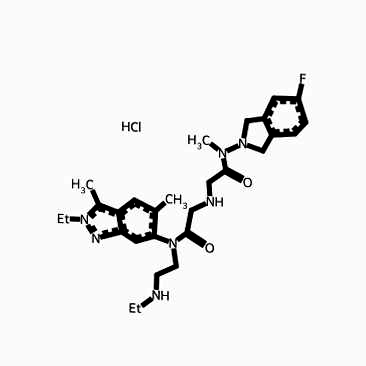 CCNCCN(C(=O)CNCC(=O)N(C)N1Cc2ccc(F)cc2C1)c1cc2nn(CC)c(C)c2cc1C.Cl